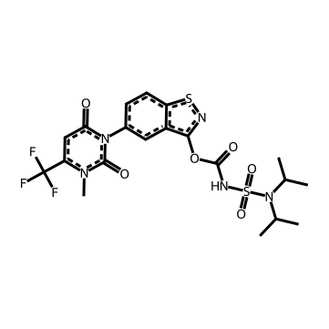 CC(C)N(C(C)C)S(=O)(=O)NC(=O)Oc1nsc2ccc(-n3c(=O)cc(C(F)(F)F)n(C)c3=O)cc12